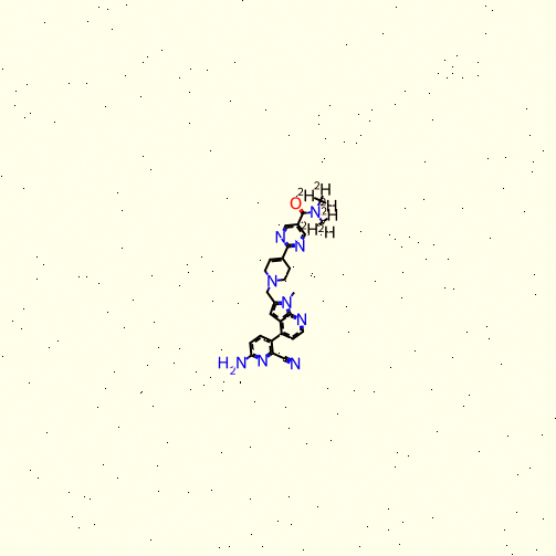 [2H]C([2H])([2H])N(C(=O)c1cnc(C2=CCN(Cc3cc4c(-c5ccc(N)nc5C#N)ccnc4n3C)CC2)nc1)C([2H])([2H])[2H]